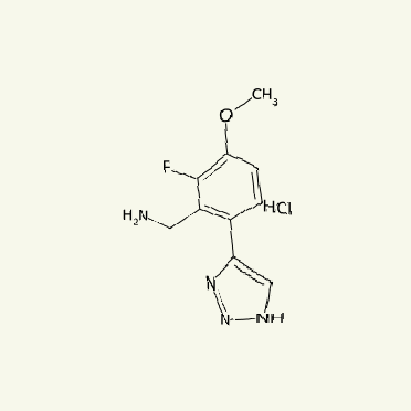 COc1ccc(-c2c[nH]nn2)c(CN)c1F.Cl